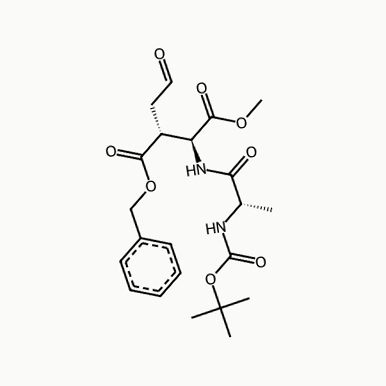 COC(=O)[C@@H](NC(=O)[C@H](C)NC(=O)OC(C)(C)C)[C@@H](CC=O)C(=O)OCc1ccccc1